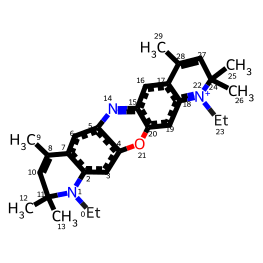 CCN1c2cc3c(cc2C(C)=CC1(C)C)N=c1cc2c(cc1O3)=[N+](CC)C(C)(C)C=C2C